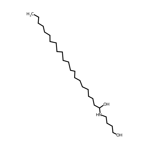 CCCCCCCCCCCCCCCCCCCCCC(O)NCCCCO